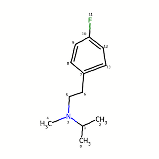 CC(C)N(C)CCc1ccc(F)cc1